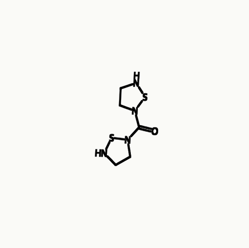 O=C(N1CCNS1)N1CCNS1